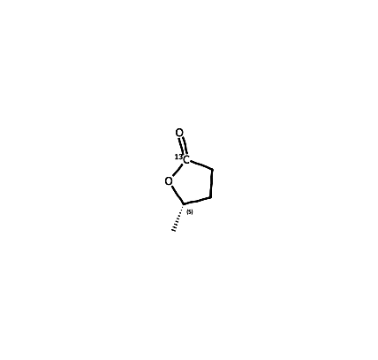 C[C@H]1CC[13C](=O)O1